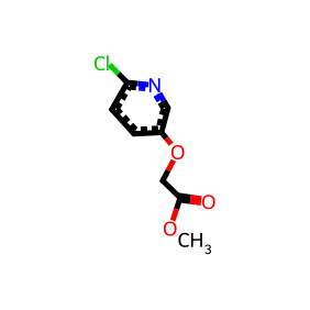 COC(=O)COc1ccc(Cl)nc1